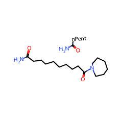 CCCCCC(N)=O.NC(=O)CCCCCCCCC(=O)N1CCCCCC1